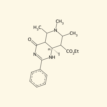 CCOC(=O)C1C(C)N(C)C(C)C2C(=O)N=C(c3ccccc3)N[C@@]21I